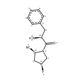 N#C[C@@H]1C[C@H](F)CN1C(=O)[C@@H](N)Cc1ccncc1